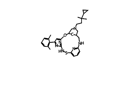 Cc1cccc(C)c1-c1cc2nc(n1)NSc1cccc(n1)NCC1CC(CN(CCC(C)(C)C3CC3)C1)O2